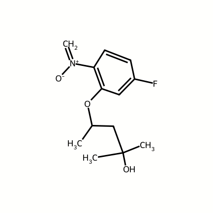 C=[N+]([O-])c1ccc(F)cc1OC(C)CC(C)(C)O